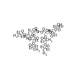 CCC(C)(CC)C(=O)OCC(C)(CC)C(=O)OCC(C)(COC(=O)C(C)(CC)COC(=O)C(C)(CC)CC)C(=O)OCOC(=O)C(C)(COC(=O)C(C)(CC)COC(=O)C(C)(CC)CC)COC(=O)C(C)(CC)COC(=O)C(C)(CC)CC